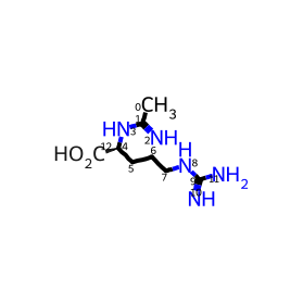 CC(=N)N[C@@H](CCCNC(=N)N)C(=O)O